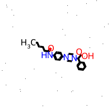 CCCCCC(=O)Nc1ccc(N2CCN(C(C(=O)O)c3ccccc3)CC2)cc1